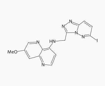 COc1cnc2c(NCc3nnc4ccc(I)nn34)ccnc2c1